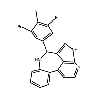 Cc1c(Br)cc(C2Nc3ccccc3-c3ccnc4[nH]cc2c34)cc1Br